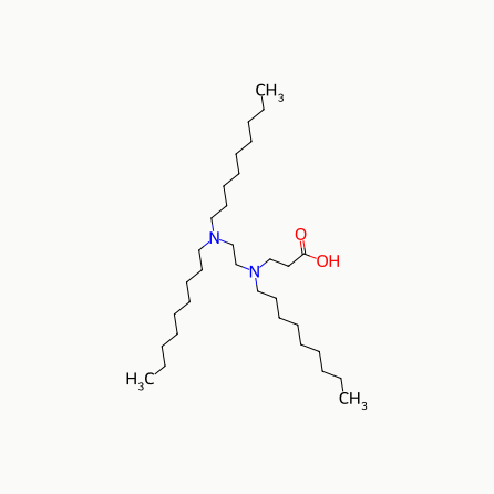 CCCCCCCCCN(CCCCCCCCC)CCN(CCCCCCCCC)CCC(=O)O